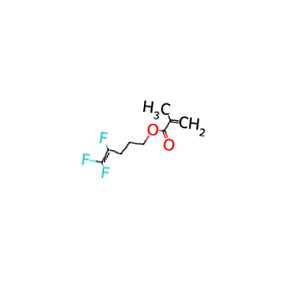 C=C(C)C(=O)OCCCC(F)=C(F)F